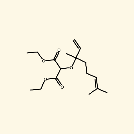 C=CC(C)(CCC=C(C)C)OC(C(=O)OCC)C(=O)OCC